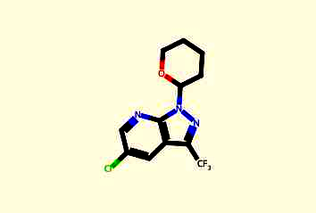 FC(F)(F)c1nn(C2CCCCO2)c2ncc(Cl)cc12